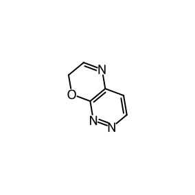 C1=Nc2ccnnc2OC1